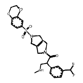 CNCC(C(=O)N1CC2=C(C1)CN(S(=O)(=O)c1ccc3c(c1)OCCO3)C2)c1cccc(C(F)F)c1